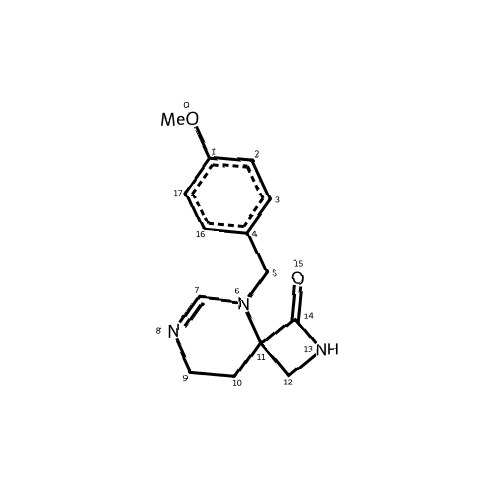 COc1ccc(CN2C=NCCC23CNC3=O)cc1